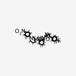 O=[N+]([O-])c1ccc(N2CCC[C@H](N[C@@H]3CCCC[C@H]3Nc3ncc(-c4ccc(F)cc4)o3)C2)cc1